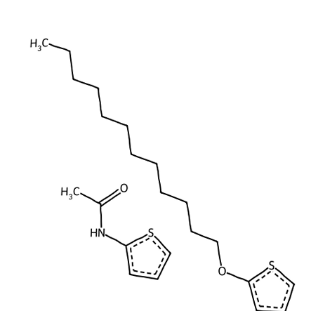 CC(=O)Nc1cccs1.CCCCCCCCCCCCOc1cccs1